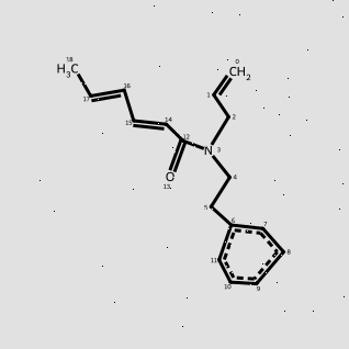 C=CCN(CCc1ccccc1)C(=O)C=CC=CC